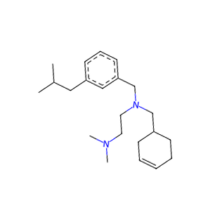 CC(C)Cc1cccc(CN(CCN(C)C)CC2CC=CCC2)c1